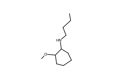 CCCCNC1CCCCC1OC